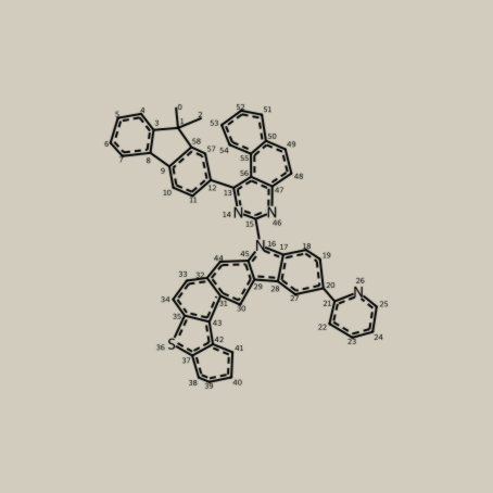 CC1(C)c2ccccc2-c2ccc(-c3nc(-n4c5ccc(-c6ccccn6)cc5c5cc6c(ccc7sc8ccccc8c76)cc54)nc4ccc5ccccc5c34)cc21